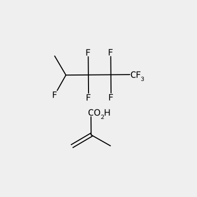 C=C(C)C(=O)O.CC(F)C(F)(F)C(F)(F)C(F)(F)F